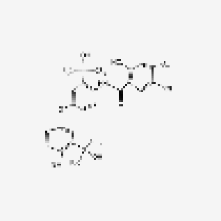 CNc1ccc(Oc2ccc(NC(=O)c3cc(O)c(C(C)=O)cc3O)c(C(O)(C(F)(F)F)C(F)(F)F)c2)cc1C(O)(C(F)(F)F)C(F)(F)F